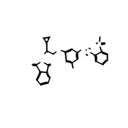 Cc1cc(OCC(ON2C(=O)c3ccccc3C2=O)C2CC2)cc(OS(=O)(=O)c2ccccc2S(C)(=O)=O)c1